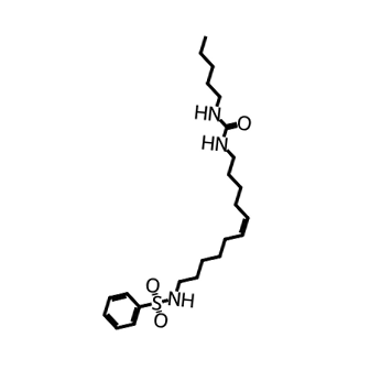 CCCCCNC(=O)NCCCC/C=C\CCCCCNS(=O)(=O)c1ccccc1